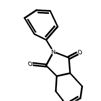 O=C1C2CC=CCC2C(=O)N1c1ccccc1